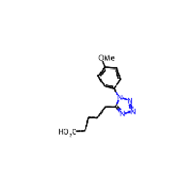 COc1ccc(-n2nnnc2CCCCC(=O)O)cc1